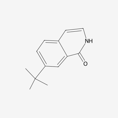 CC(C)(C)c1ccc2cc[nH]c(=O)c2c1